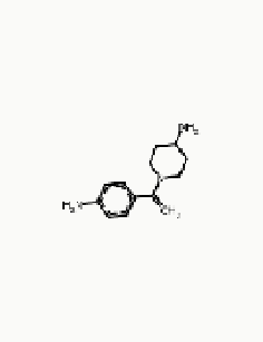 C=C(c1ccc(N)cc1)N1CCC(N)CC1